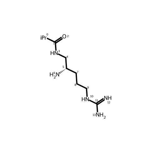 CC(C)C(=O)NC[C@@H](N)CCCNC(=N)N